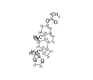 CC(=O)OC1=CC2=CCC3C(C(=O)C[C@@]4(C)C3CC[C@@H]4C3(C)OCCO3)[C@@]2(C)CC1